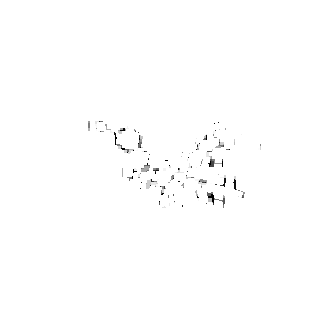 CC[C@H](C)[C@H](NC(=O)[C@@H](NC(=O)[C@H](C)NC(=O)[C@@H](N)Cc1ccc(O)cc1)[C@@H](C)O)C(=O)O